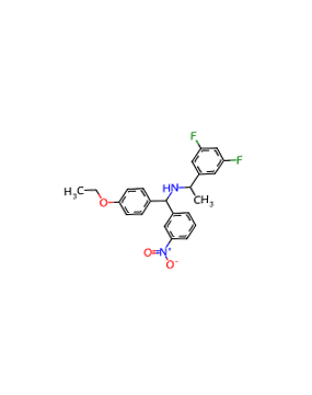 CCOc1ccc(C(NC(C)c2cc(F)cc(F)c2)c2cccc([N+](=O)[O-])c2)cc1